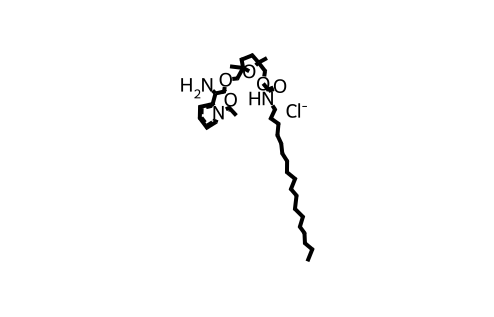 CCCCCCCCCCCCCCCCCCNC(=O)OCC1(C)CCC(C)(COC(=O)C(N)c2cccc[n+]2CC)O1.[Cl-]